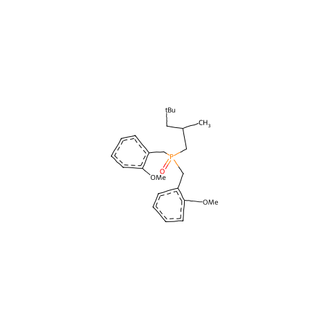 COc1ccccc1CP(=O)(Cc1ccccc1OC)CC(C)CC(C)(C)C